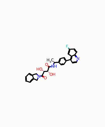 C[C@@H](NC(=O)[C@H](O)[C@@H](O)C(=O)N1Cc2ccccc2C1)c1ccc(-c2ccnc3ccc(F)cc23)cc1